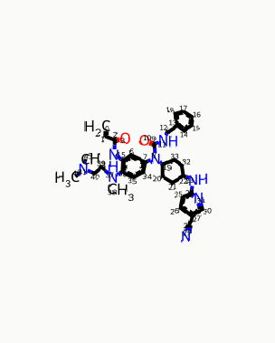 C=CC(=O)Nc1cc(N(C(=O)NCc2ccccc2)C2CCC(Nc3ccc(C#N)cn3)CC2)ccc1N(C)CCN(C)C